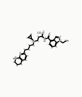 CC(C)Cn1ncc2c(C(=O)NC(CCN(CCCCc3ccc4c(n3)NCCC4)C3CC3)C(=O)O)cccc21